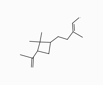 [CH2]C=C(C)CCC1CC(C(=C)C)C1(C)C